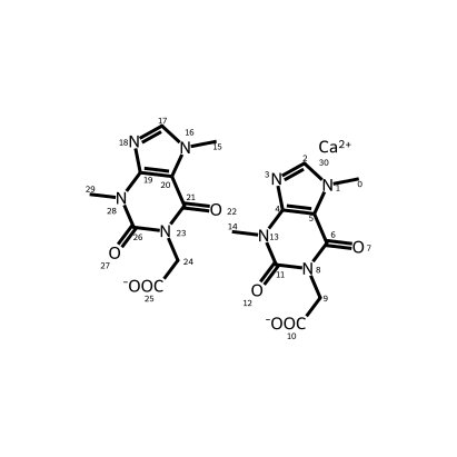 Cn1cnc2c1c(=O)n(CC(=O)[O-])c(=O)n2C.Cn1cnc2c1c(=O)n(CC(=O)[O-])c(=O)n2C.[Ca+2]